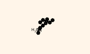 Cn1c(-c2ccccc2)nc2cc(-c3ccc(-c4ccc5c(-c6cccc(-c7ccccc7)c6)c6ccccc6c(-c6cccc(-c7ccccc7)c6)c5c4)cc3)ccc21